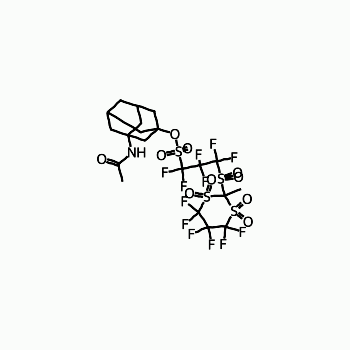 CC(=O)NC12CC3CC(C1)CC(OS(=O)(=O)C(F)(F)C(F)(F)C(F)(F)S(=O)(=O)C1(C)S(=O)(=O)C(F)(F)C(F)(F)C(F)(F)S1(=O)=O)(C3)C2